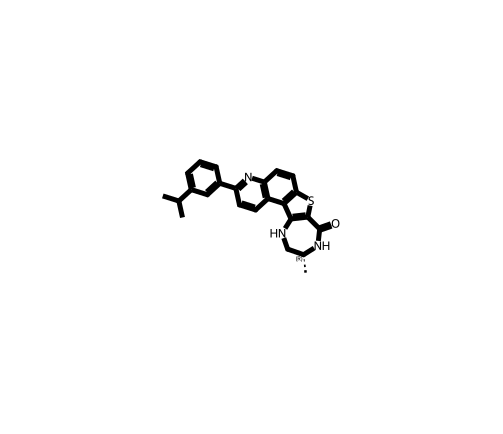 CC(C)c1cccc(-c2ccc3c(ccc4sc5c(c43)NC[C@@H](C)NC5=O)n2)c1